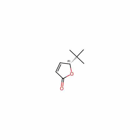 CC(C)(C)[C@H]1C=CC(=O)O1